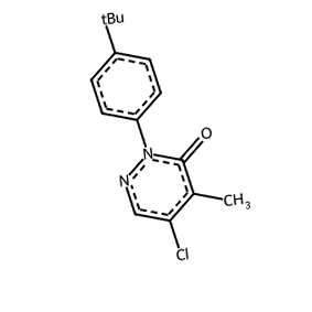 Cc1c(Cl)cnn(-c2ccc(C(C)(C)C)cc2)c1=O